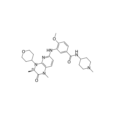 COc1ccc(C(=O)NC2CCN(C)CC2)cc1Nc1ccc2c(n1)N(C1CCOCC1)[C@H](C)C(=O)N2C